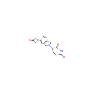 O=C1CN(c2cc3c(cc2F)CN(C2CCC(=O)NC2=O)C3)C1